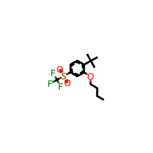 CCCCOc1cc(S(=O)(=O)C(F)(F)F)ccc1C(C)(C)C